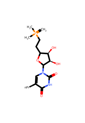 C=P(C)(C)CCC1OC(n2cc(CCC)c(=O)[nH]c2=O)[C@H](O)[C@@H]1O